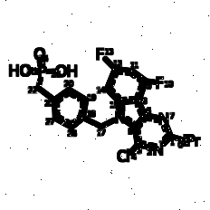 CC(C)c1nc(Cl)c2c(n1)c1c(F)cc(F)cc1n2Cc1ccc(CP(=O)(O)O)cc1